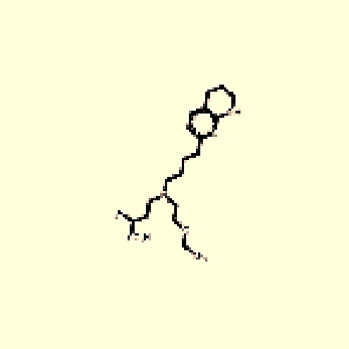 NC(CCN(CCCCc1ccc2c(n1)NCCC2)CCOCC(F)(F)F)C(=O)O